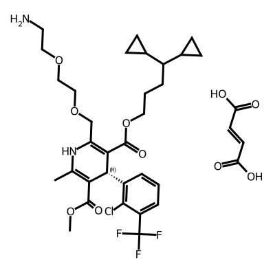 COC(=O)C1=C(C)NC(COCCOCCN)=C(C(=O)OCCCC(C2CC2)C2CC2)[C@@H]1c1cccc(C(F)(F)F)c1Cl.O=C(O)C=CC(=O)O